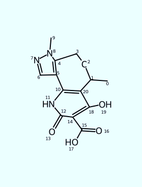 CC1CCc2c(cnn2C)-c2[nH]c(=O)c(C(=O)O)c(O)c21